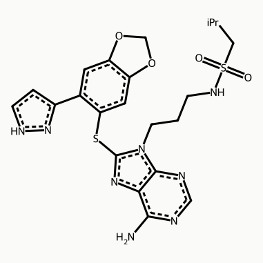 CC(C)CS(=O)(=O)NCCCn1c(Sc2cc3c(cc2-c2cc[nH]n2)OCO3)nc2c(N)ncnc21